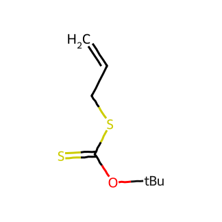 C=CCSC(=S)OC(C)(C)C